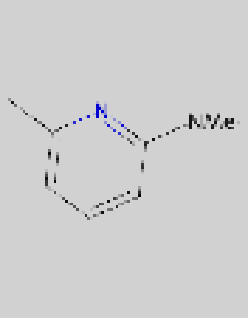 C[N]c1cccc(C)n1